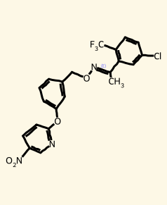 C/C(=N\OCc1cccc(Oc2ccc([N+](=O)[O-])cn2)c1)c1cc(Cl)ccc1C(F)(F)F